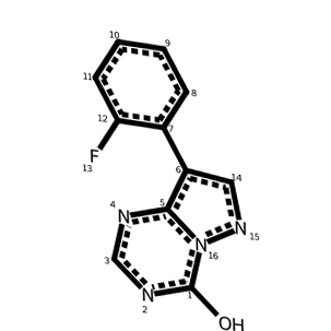 Oc1ncnc2c(-c3ccccc3F)cnn12